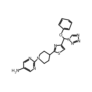 Nc1cnc(N2CCC(c3nc(C(Oc4ccccc4)n4cnnn4)cs3)CC2)nc1